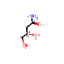 NC(=O)C[C@@H](O)CO